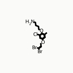 Cc1cc(OCC=C(Br)Br)cc(Cl)c1OCCCCN